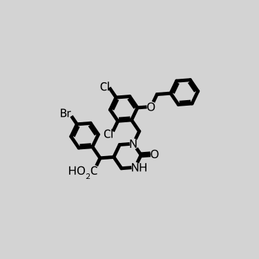 O=C(O)C(c1ccc(Br)cc1)C1CNC(=O)N(Cc2c(Cl)cc(Cl)cc2OCc2ccccc2)C1